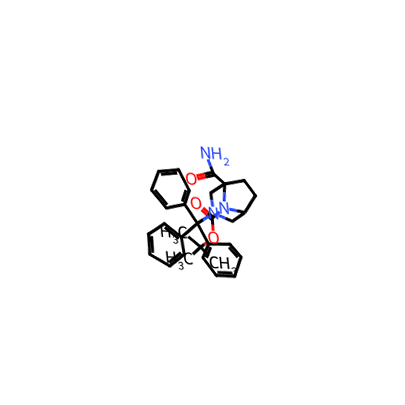 CC(C)(C)OC(=O)N1C2CCC1(C(N)=O)CN(C(c1ccccc1)(c1ccccc1)c1ccccc1)C2